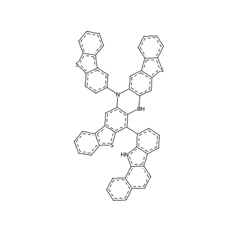 B1c2cc3sc4ccccc4c3cc2N(c2ccc3sc4ccccc4c3c2)c2cc3c(sc4ccccc43)c(-c3cccc4c3[nH]c3c5ccccc5ccc43)c21